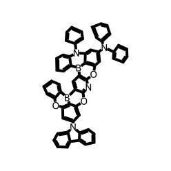 c1ccc(N(c2ccccc2)c2cc3c4c(c2)N(c2ccccc2)c2ccccc2B4c2cc4c(nc2O3)Oc2cc(-n3c5ccccc5c5ccccc53)cc3c2B4c2ccccc2O3)cc1